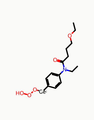 CCOCCCC(=O)N(CC)c1cc[c]([Ge][O]OO)cc1